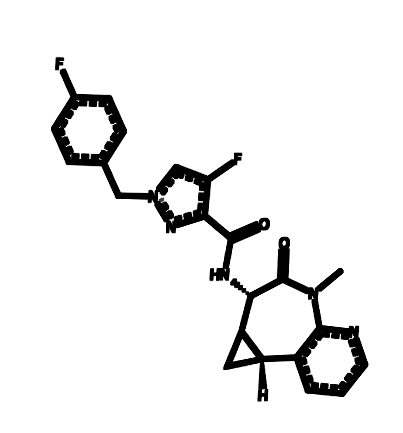 CN1C(=O)[C@@H](NC(=O)c2nn(Cc3ccc(F)cc3)cc2F)C2C[C@H]2c2cccnc21